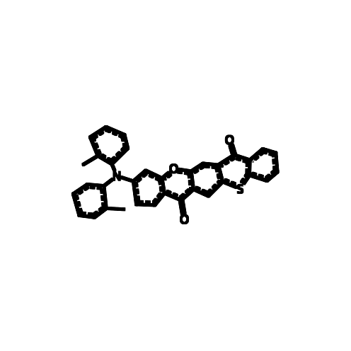 Cc1ccccc1N(c1ccc2c(=O)c3cc4sc5ccccc5c(=O)c4cc3oc2c1)c1ccccc1C